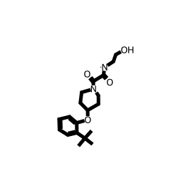 CC(C)(C)c1ccccc1OC1CCN(C(=O)C(=O)[N]CCO)CC1